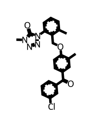 Cc1cc(C(=O)c2cccc(Cl)c2)ccc1OCc1c(C)cccc1-n1nnn(C)c1=O